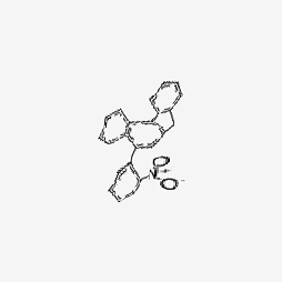 O=[N+]([O-])c1ccccc1-c1cc2c(c3ccccc13)-c1ccccc1C2